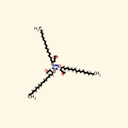 CCCCCCCCCCCCCCCCCC(CC1CO1)ON1CN(OC(CCCCCCCCCCCCCCCCC)CC2CO2)CN(OC(CCCCCCCCCCCCCCCCC)CC2CO2)C1